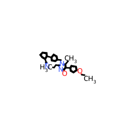 CCCOc1ccc(-c2c(CC)n(Cc3ccc(-c4ccccc4C#N)cc3)c(CCC)nc2=O)cc1